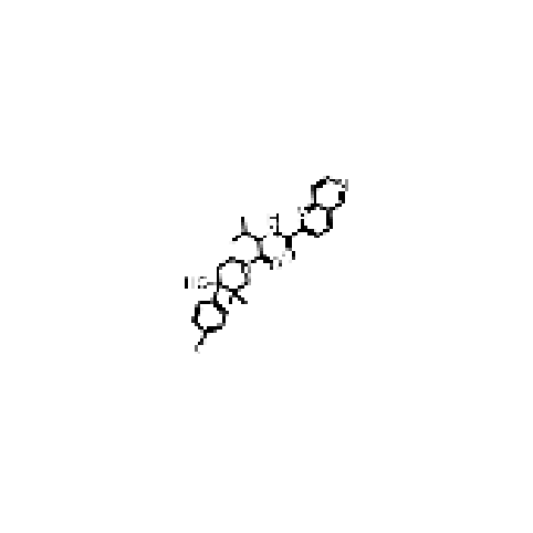 CC(C)[C@@H](NC(=O)c1ccc2cnccc2n1)C(=O)N1CC[C@](O)(c2ccc(Cl)cc2)C(C)(C)C1